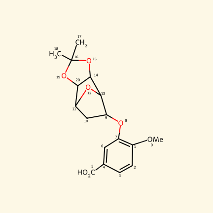 COc1ccc(C(=O)O)cc1OC1CC2OC1C1OC(C)(C)OC21